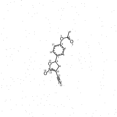 CC(=O)Oc1ccc(C2CC(C#N)=[N+]([O-])O2)cc1